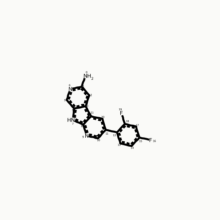 Nc1cc2c(cn1)[nH]c1ncc(-c3ccc(F)cc3F)cc12